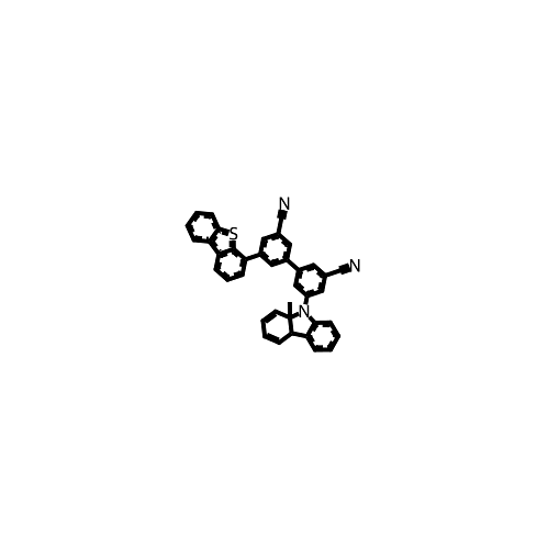 CC12C=CC=CC1c1ccccc1N2c1cc(C#N)cc(-c2cc(C#N)cc(-c3cccc4c3sc3ccccc34)c2)c1